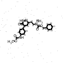 COC(=O)Nc1ccc(-c2cc(CCN(N)C(=O)OCc3ccccc3)n[nH]c2=O)cc1